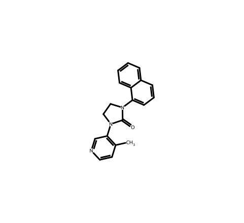 Cc1ccncc1N1CCN(c2cccc3ccccc23)C1=O